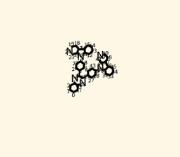 c1ccc2nc(-c3ccc(-n4c5ccccc5c5ccncc54)cc3)c(-c3ccc(-n4c5ccccc5c5ccncc54)cc3)nc2c1